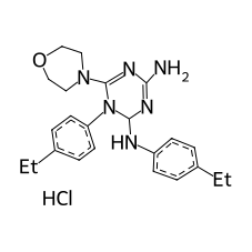 CCc1ccc(NC2N=C(N)N=C(N3CCOCC3)N2c2ccc(CC)cc2)cc1.Cl